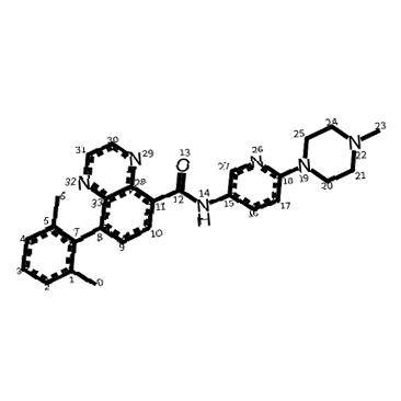 Cc1cccc(C)c1-c1ccc(C(=O)Nc2ccc(N3CCN(C)CC3)nc2)c2nccnc12